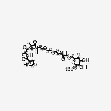 CC(NC(=O)C(C)NC(=O)C1CCCN1)C(=O)NCCOCCOCCNC(=O)COCC1O[C@@H](OC(C)(C)C)C(O)C(O)[C@@H]1C